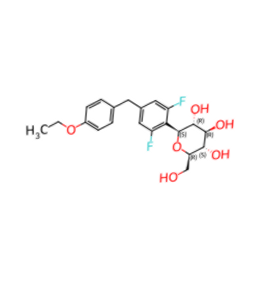 CCOc1ccc(Cc2cc(F)c([C@@H]3O[C@H](CO)[C@@H](O)[C@H](O)[C@H]3O)c(F)c2)cc1